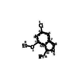 CCOc1nc(Cl)cc2cnc(C(C)C)n12